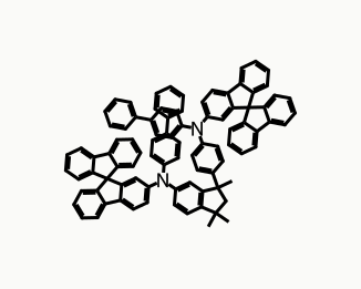 CC1(C)CC(C)(c2ccc(N(c3ccc(-c4ccccc4)cc3)c3ccc4c(c3)C3(c5ccccc5-c5ccccc53)c3ccccc3-4)cc2)c2cc(N(c3ccc(-c4ccccc4)cc3)c3ccc4c(c3)C3(c5ccccc5-c5ccccc53)c3ccccc3-4)ccc21